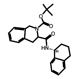 CC(C)(C)OC(=O)N1Cc2ccccc2CC1C(=O)N[C@@H]1CCCc2ccccc21